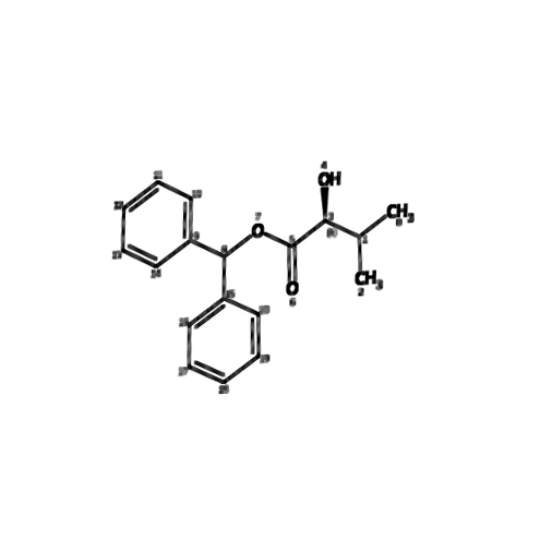 CC(C)[C@H](O)C(=O)OC(c1ccccc1)c1ccccc1